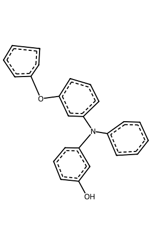 Oc1cccc(N(c2ccccc2)c2cccc(Oc3ccccc3)c2)c1